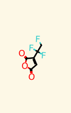 O=C1C=C(C(F)(F)CF)C(=O)O1